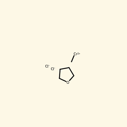 C1CCOC1.[CH3][Cr+2].[Cl-].[Cl-]